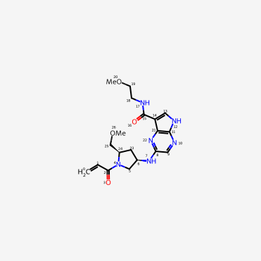 C=CC(=O)N1C[C@H](Nc2cnc3[nH]cc(C(=O)NCCOC)c3n2)C[C@@H]1COC